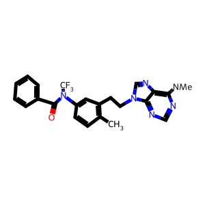 CNc1ncnc2c1ncn2CCc1cc(N(C(=O)c2ccccc2)C(F)(F)F)ccc1C